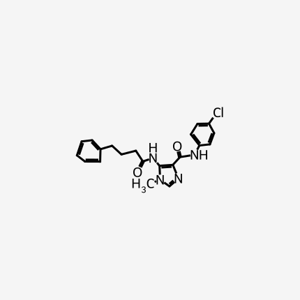 Cn1cnc(C(=O)Nc2ccc(Cl)cc2)c1NC(=O)CCCc1ccccc1